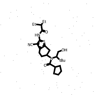 CCC(CC)C(=O)Nc1sc2c(c1C#N)CCC(N(C(=O)C1CCCC1)C(CO)C(C)(C)C)C2